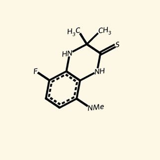 CNc1ccc(F)c2c1NC(=S)C(C)(C)N2